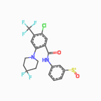 O=[S+]c1cccc(NC(=O)c2cc(Cl)c(C(F)(F)F)cc2N2CCC(F)(F)CC2)c1